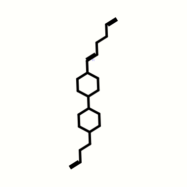 C=CCC/C=C/C1CCC(C2CCC(CCC=C)CC2)CC1